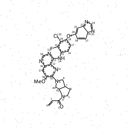 C=CC(=O)N1CCC2CN(c3nc4c(Nc5ccc(OC6=CC7=NC=NC7C=C6)c(Cl)c5F)ncnc4cc3OC)CC21